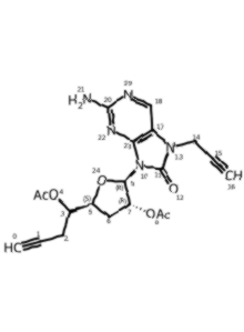 C#CCC(OC(C)=O)[C@@H]1C[C@@H](OC(C)=O)[C@H](n2c(=O)n(CC#C)c3cnc(N)nc32)O1